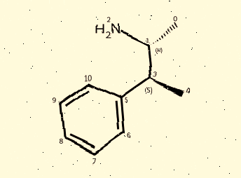 C[C@@H](N)[C@@H](C)c1ccccc1